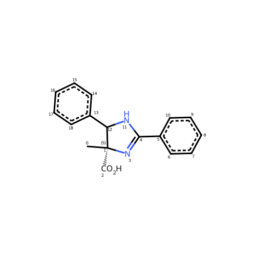 C[C@]1(C(=O)O)N=C(c2ccccc2)NC1c1ccccc1